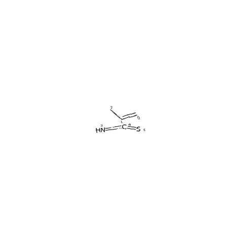 C=CC.N=C=S